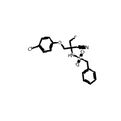 N#CC(CF)(COc1ccc(Cl)cc1)NS(=O)(=O)Cc1ccccc1